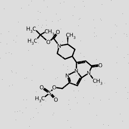 C[C@H]1CC(c2cc(=O)n(C)c3cc(COS(C)(=O)=O)nn23)CCN1C(=O)OC(C)(C)C